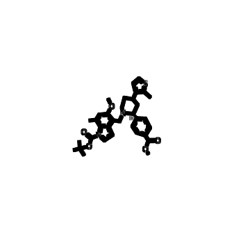 COC(=O)c1ccc([C@@H]2CC(c3ccsc3C)CCN2Cc2c(OC)cc(C)c3c2ccn3C(=O)OC(C)(C)C)cc1